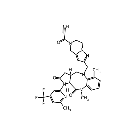 C#CC(=O)N1CCn2nc(CN3C[C@H]4CC(=O)N(c5cc(C(F)(F)F)cc(C)n5)[C@@H]4C(=O)N(C)c4cccc(C)c43)cc2C1